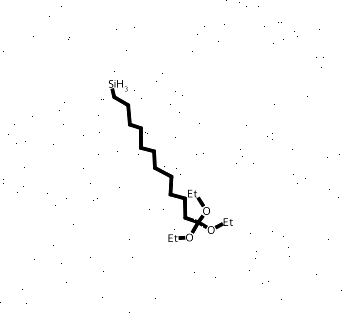 CCOC(CCCCCCCCCCC[SiH3])(OCC)OCC